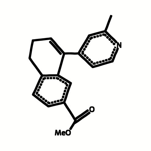 COC(=O)c1ccc2c(c1)C(c1ccnc(C)c1)=CCC2